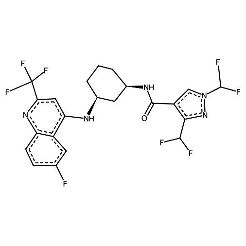 O=C(N[C@@H]1CCC[C@H](Nc2cc(C(F)(F)F)nc3ccc(F)cc23)C1)c1cn(C(F)F)nc1C(F)F